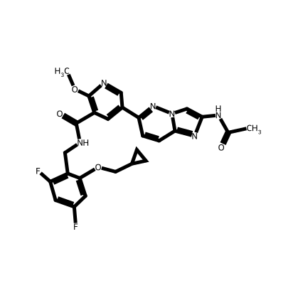 COc1ncc(-c2ccc3nc(NC(C)=O)cn3n2)cc1C(=O)NCc1c(F)cc(F)cc1OCC1CC1